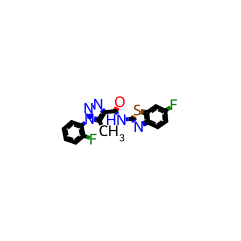 Cc1c(C(=O)Nc2nc3ccc(F)cc3s2)nnn1-c1ccccc1F